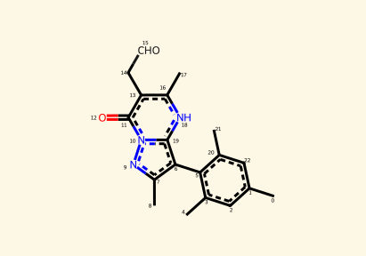 Cc1cc(C)c(-c2c(C)nn3c(=O)c(CC=O)c(C)[nH]c23)c(C)c1